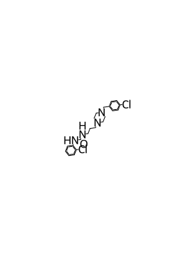 O=C(NCCCN1CCN(Cc2ccc(Cl)cc2)CC1)Nc1ccccc1Cl